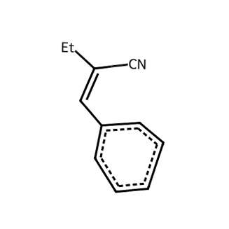 CCC(C#N)=Cc1ccccc1